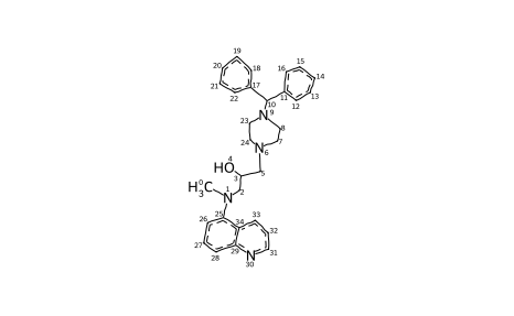 CN(CC(O)CN1CCN(C(c2ccccc2)c2ccccc2)CC1)c1cccc2ncccc12